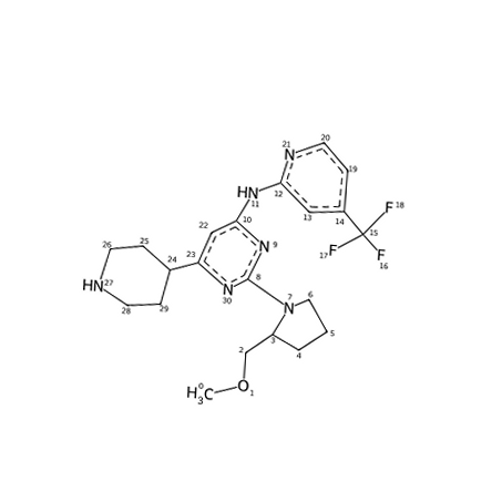 COCC1CCCN1c1nc(Nc2cc(C(F)(F)F)ccn2)cc(C2CCNCC2)n1